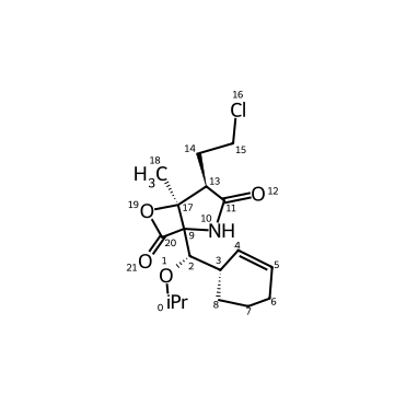 CC(C)O[C@@H]([C@@H]1C=CCCC1)C12NC(=O)[C@H](CCCl)[C@]1(C)OC2=O